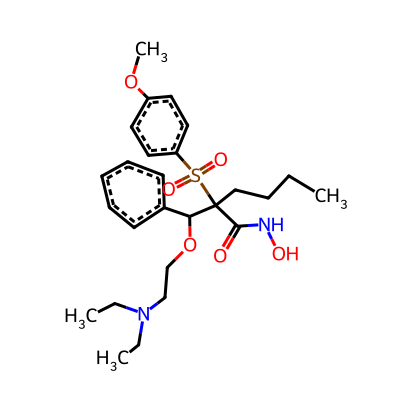 CCCCC(C(=O)NO)(C(OCCN(CC)CC)c1ccccc1)S(=O)(=O)c1ccc(OC)cc1